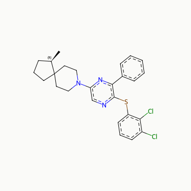 C[C@@H]1CCCC12CCN(c1cnc(Sc3cccc(Cl)c3Cl)c(-c3ccccc3)n1)CC2